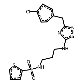 O=S(=O)(NCCCNc1nc(Cc2ccc(Cl)cc2)ns1)c1cccs1